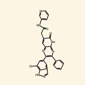 O=C(Cc1cc2nc(-c3cc(Cl)c4[nH]ncc4c3)c(-c3ccccc3)nc2[nH]c1=O)Nc1cccnc1